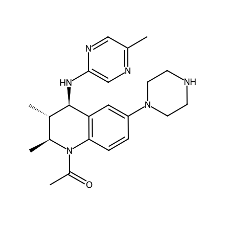 CC(=O)N1c2ccc(N3CCNCC3)cc2[C@H](Nc2cnc(C)cn2)[C@@H](C)[C@@H]1C